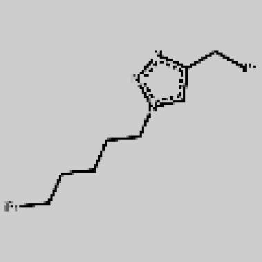 CC(C)CCCCCn1cc(CC(C)C)nn1